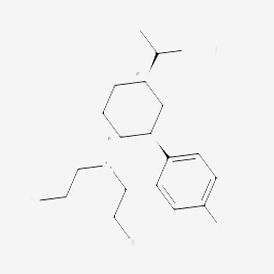 CC(C)CCN(CCC(C)C)[C@@H]1CC[C@@H](C(C)C(=O)O)C[C@H]1c1ccc(C(F)(F)F)cc1